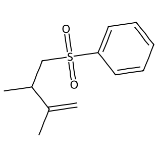 C=C(C)C(C)CS(=O)(=O)c1ccccc1